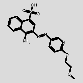 COCCOc1ccc(N=Nc2cc(S(=O)(=O)O)c3ccccc3c2N)cn1